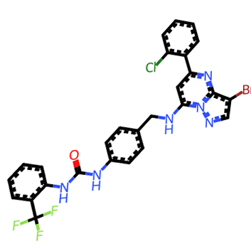 O=C(Nc1ccc(CNc2cc(-c3ccccc3Cl)nc3c(Br)cnn23)cc1)Nc1ccccc1C(F)(F)F